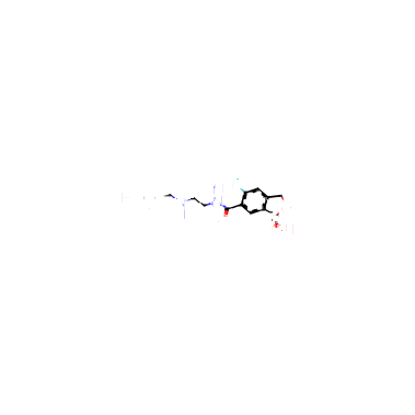 O=C(O)CNCCNC(=O)c1cc2c(cc1F)COB2O